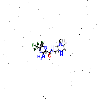 CN1CCNC(CNC(=O)c2nc(Br)c(C(F)(F)F)nc2N)C1